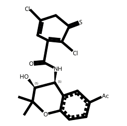 CC(=O)c1ccc2c(c1)[C@H](NC(=O)C1=C(Cl)C(=S)CC(Cl)=C1)[C@H](O)C(C)(C)O2